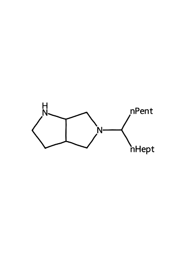 CCCCCCCC(CCCCC)N1CC2CCNC2C1